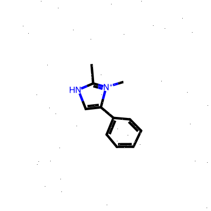 Cc1[nH]cc(-c2ccccc2)[n+]1C